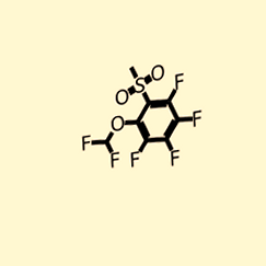 CS(=O)(=O)c1c(F)c(F)c(F)c(F)c1OC(F)F